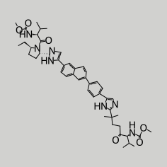 CC[C@@H]1CC[C@@H](c2ncc(-c3ccc4cc(-c5ccc(-c6cnc(C(C)(C)CCC(=O)[C@@H](NC(=O)OC)C(C)C)[nH]6)cc5)ccc4c3)[nH]2)N1C(=O)[C@@H](NC(=O)OC)C(C)C